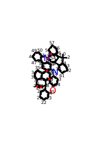 CC1(C)c2ccccc2-c2c(N(c3ccc4c(c3)[C@]3(c5ccccc5O4)c4ccccc4-c4cccc5cccc3c45)c3ccc4c5ccccc5n(-c5ccccc5)c4c3)cccc21